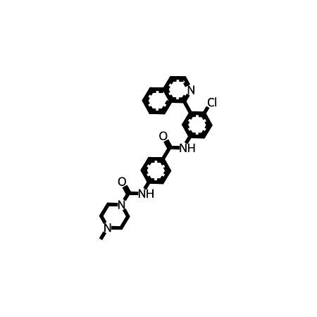 CN1CCN(C(=O)Nc2ccc(C(=O)Nc3ccc(Cl)c(-c4nccc5ccccc45)c3)cc2)CC1